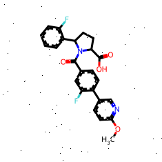 COc1ccc(-c2ccc(C(=O)N3C(C(=O)O)CCC3c3ccccc3F)cc2F)cn1